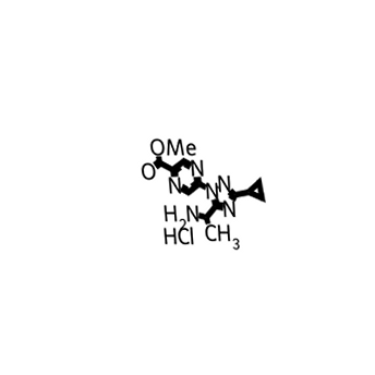 COC(=O)c1cnc(-n2nc(C3CC3)nc2C(C)N)cn1.Cl